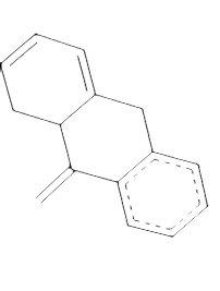 C=C1c2ccccc2CC2=CC=CCC12